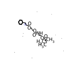 CCC(C)(C)C(=O)OCCNC(=O)OCCOC(=O)/C=C/c1ccccc1